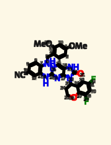 COc1ccc(CNc2ccc(C#N)cc2NC2N=c3c([nH]c(=O)n3C3CCOc4c(F)cc(F)cc43)=CN2)c(OC)c1